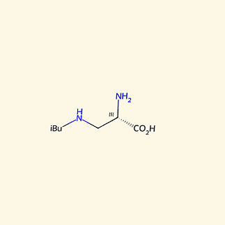 CCC(C)NC[C@H](N)C(=O)O